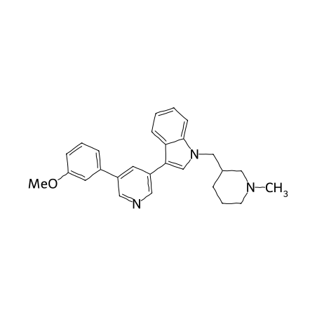 COc1cccc(-c2cncc(-c3cn(CC4CCCN(C)C4)c4ccccc34)c2)c1